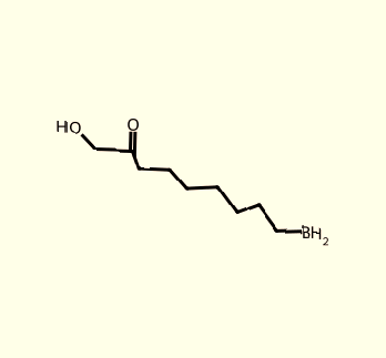 BCCCCCCCC(=O)CO